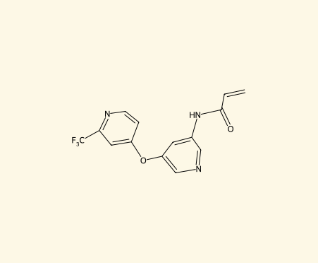 C=CC(=O)Nc1cncc(Oc2ccnc(C(F)(F)F)c2)c1